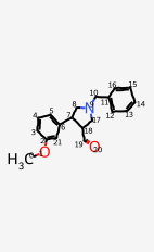 COc1cccc(C2CN(Cc3ccccc3)CC2C=O)c1